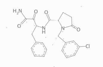 NC(=O)C(=O)C(Cc1ccccc1)NC(=O)[C@@H]1CCC(=O)N1Cc1cccc(Cl)c1